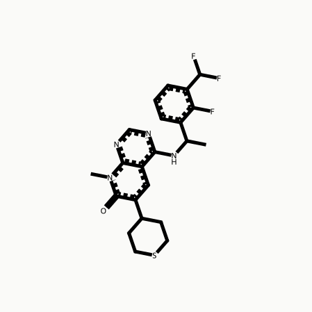 CC(Nc1ncnc2c1cc(C1CCSCC1)c(=O)n2C)c1cccc(C(F)F)c1F